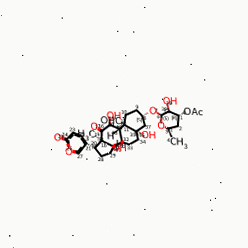 CC(=O)O[C@@H]1C[C@@H](C)O[C@@H](O[C@H]2CC[C@]3(C=O)[C@H]4[C@H](O)C(=O)[C@]5(C)[C@@H](c6ccc(=O)oc6)CC[C@]5(O)[C@@H]4CC[C@]3(O)C2)[C@H]1O